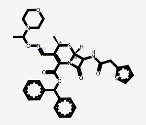 CC(O/N=C/C1=C(C(=O)OC(c2ccccc2)c2ccccc2)N2C(=O)C(NC(=O)Cc3cccs3)[C@H]2S[C@@H]1C)N1CCOCC1